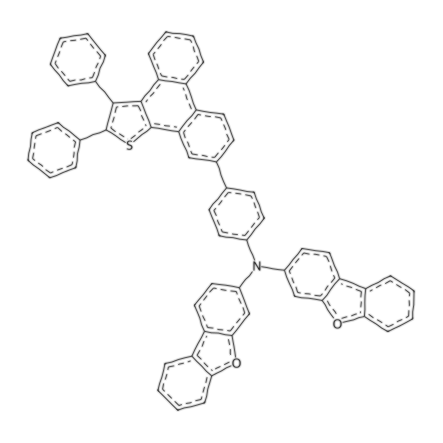 c1ccc(-c2sc3c4cc(-c5ccc(N(c6ccc7c(c6)oc6ccccc67)c6ccc7c(c6)oc6ccccc67)cc5)ccc4c4ccccc4c3c2-c2ccccc2)cc1